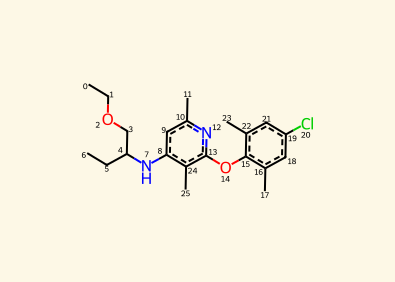 CCOCC(CC)Nc1cc(C)nc(Oc2c(C)cc(Cl)cc2C)c1C